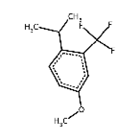 COc1ccc(C(C)C)c(C(F)(F)F)c1